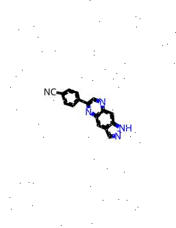 N#Cc1ccc(-c2cnc3cc4[nH]ncc4cc3n2)cc1